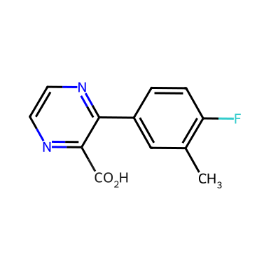 Cc1cc(-c2nccnc2C(=O)O)ccc1F